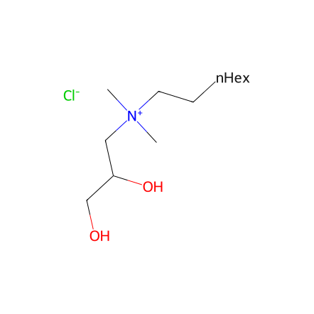 CCCCCCCC[N+](C)(C)CC(O)CO.[Cl-]